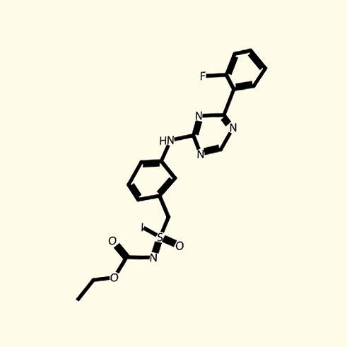 CCOC(=O)N=S(=O)(I)Cc1cccc(Nc2ncnc(-c3ccccc3F)n2)c1